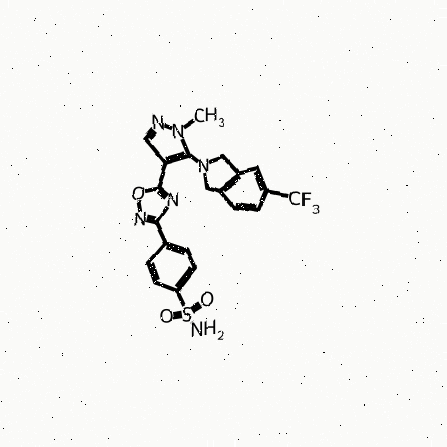 Cn1ncc(-c2nc(-c3ccc(S(N)(=O)=O)cc3)no2)c1N1Cc2ccc(C(F)(F)F)cc2C1